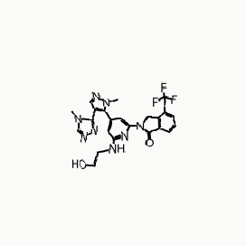 Cn1cnnc1-c1cnn(C)c1-c1cc(NCCO)nc(N2Cc3c(cccc3C(F)(F)F)C2=O)c1